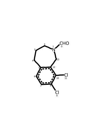 O=CN1CCCc2ccc(Cl)c(Cl)c2C1